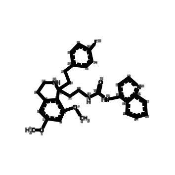 COc1cc2c(c(OC)c1)C(CCNC(=O)Nc1ccnc3ccccc13)(CCc1ccc(F)cc1)NCC2